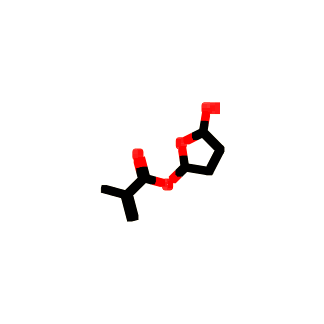 C=C(C)C(=O)OC1CCC(O)O1